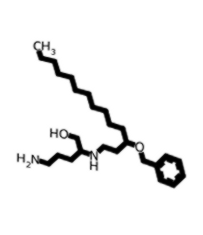 CCCCCCCCCCCC(CCNC(CO)CCCN)OCc1ccccc1